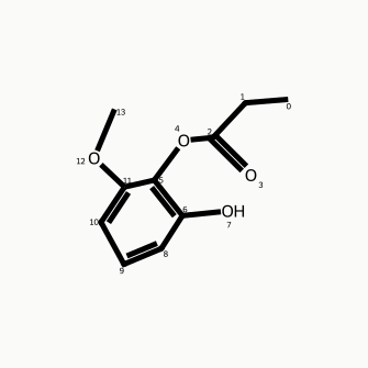 CCC(=O)Oc1c(O)cccc1OC